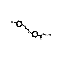 CCCCCCCCOC(=O)c1ccc(OCCOc2ccc(CCCC)cc2)cc1